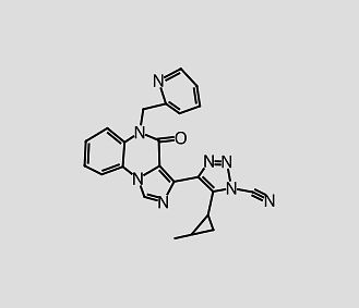 CC1CC1c1c(-c2ncn3c2c(=O)n(Cc2ccccn2)c2ccccc23)nnn1C#N